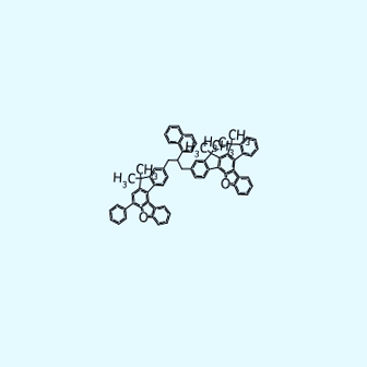 CC1(C)c2cc(CC(Cc3ccc4c(c3)C(C)(C)c3c5c(c6c(oc7ccccc76)c3-4)-c3ccccc3C5(C)C)c3cccc4ccccc34)ccc2-c2c1cc(-c1ccccc1)c1oc3ccccc3c21